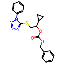 O=C(OCc1ccccc1)OC(CSc1nnnn1-c1ccccc1)C1CC1